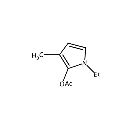 CCn1ccc(C)c1OC(C)=O